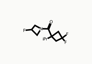 CC(C)C1(C(=O)N2CC(F)C2)CC(F)(F)C1